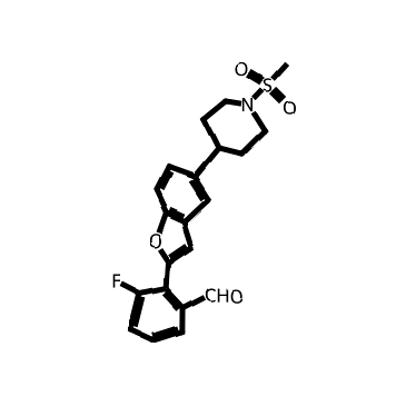 CS(=O)(=O)N1CCC(c2ccc3oc(-c4c(F)cccc4C=O)cc3c2)CC1